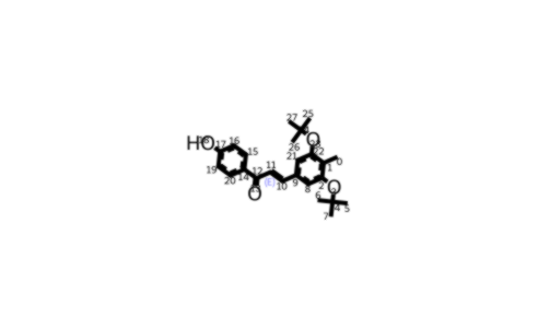 Cc1c(OC(C)(C)C)cc(/C=C/C(=O)c2ccc(O)cc2)cc1OC(C)(C)C